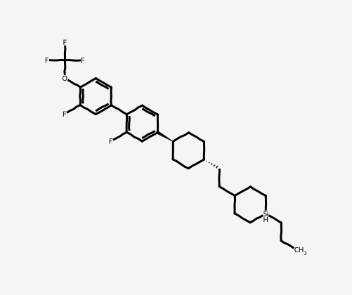 CCC[SiH]1CCC(CC[C@H]2CC[C@H](c3ccc(-c4ccc(OC(F)(F)F)c(F)c4)c(F)c3)CC2)CC1